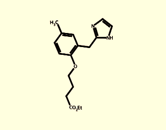 CCOC(=O)CCCOc1ccc(C)cc1Cc1ncc[nH]1